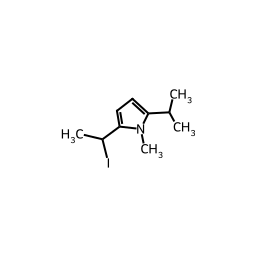 CC(C)c1ccc(C(C)I)n1C